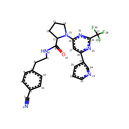 N#Cc1ccc(CCNC(=O)C2CCCN2c2cc(-c3cccnc3)nc(C(F)(F)F)n2)cc1